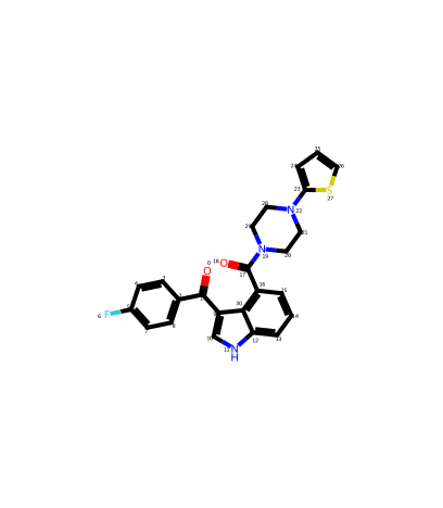 O=C(c1ccc(F)cc1)c1c[nH]c2cccc(C(=O)N3CCN(c4cccs4)CC3)c12